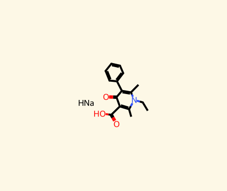 CCn1c(C)c(C(=O)O)c(=O)c(-c2ccccc2)c1C.[NaH]